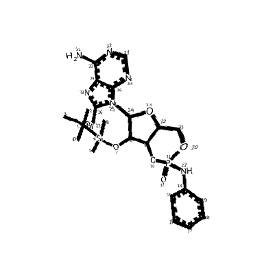 CC(C)(C)[Si](C)(C)OC1C2OP(=O)(Nc3ccccc3)OCC2OC1n1c(Br)nc2c(N)ncnc21